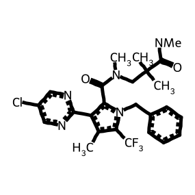 CNC(=O)C(C)(C)CN(C)C(=O)c1c(-c2ncc(Cl)cn2)c(C)c(C(F)(F)F)n1Cc1ccccc1